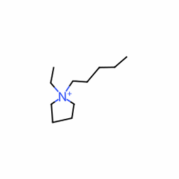 CCCCC[N+]1(CC)CCCC1